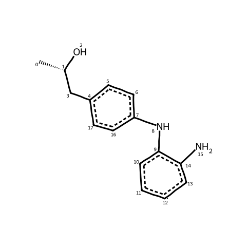 C[C@H](O)Cc1ccc(Nc2cc[c]cc2N)cc1